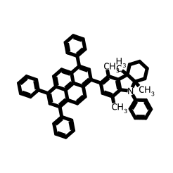 Cc1cc(-c2cc(-c3ccccc3)c3ccc4c(-c5ccccc5)cc(-c5ccccc5)c5ccc2c3c45)c(C)c2c1N(c1ccccc1)C1(C)CCCCC21C